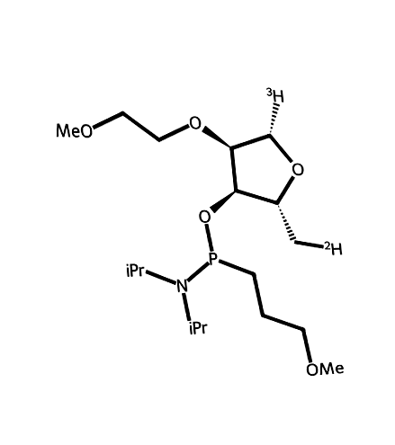 [2H]C[C@H]1O[C@@H]([3H])[C@H](OCCOC)[C@@H]1OP(CCCOC)N(C(C)C)C(C)C